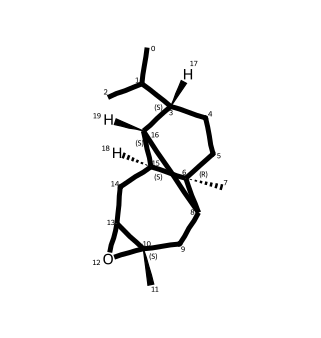 CC(C)[C@@H]1CC[C@@]2(C)C3C[C@]4(C)OC4C[C@H]2[C@@H]31